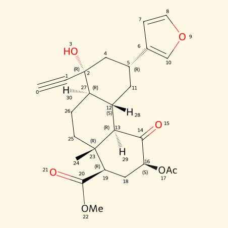 C#C[C@@]1(O)C[C@H](c2ccoc2)C[C@@H]2[C@H]3C(=O)[C@@H](OC(C)=O)C[C@@H](C(=O)OC)[C@]3(C)CC[C@H]21